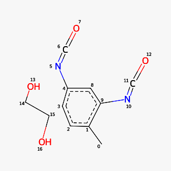 Cc1ccc(N=C=O)cc1N=C=O.OCCO